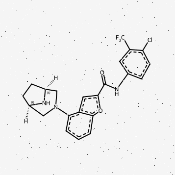 O=C(Nc1ccc(Cl)c(C(F)(F)F)c1)c1cc2c(N3C[C@H]4CC[C@@H](C3)N4)cccc2o1